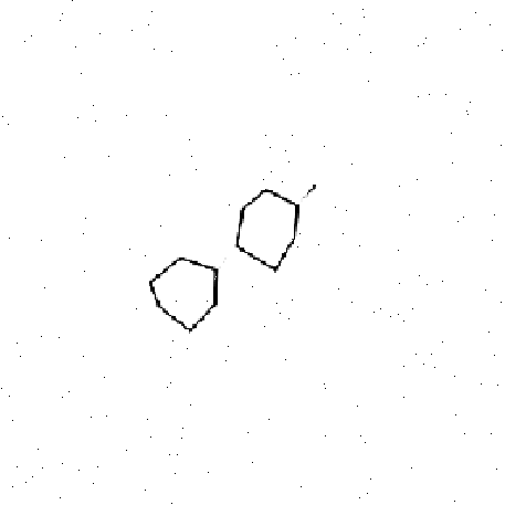 CCCCC[C@H]1CC[C@H](C2CC[CH]CC2)CC1